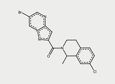 CC1c2cc(Cl)ccc2CCN1C(=O)c1cc2ncc(Br)cn2n1